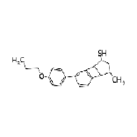 CCCOc1ccc(-c2ccc3c(c2)C2C(S)CC(C)C32)cc1